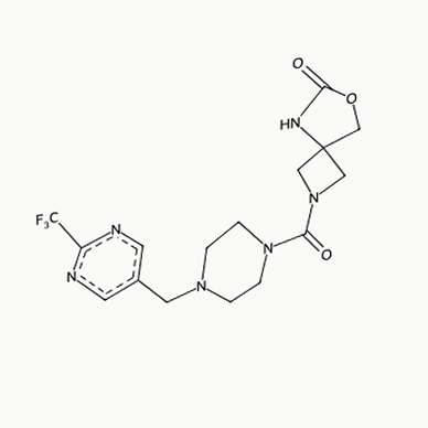 O=C1NC2(CO1)CN(C(=O)N1CCN(Cc3cnc(C(F)(F)F)nc3)CC1)C2